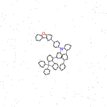 c1ccc(-c2ccc(-c3ccccc3N(c3ccc(-c4ccc5oc6ccccc6c5c4)cc3)c3cccc(-c4cccc5c4-c4ccccc4C5(c4ccccc4)c4ccccc4)c3)cc2)cc1